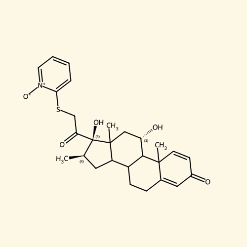 C[C@@H]1CC2C3CCC4=CC(=O)C=CC4(C)C3[C@@H](O)CC2(C)[C@@]1(O)C(=O)CSc1cccc[n+]1[O-]